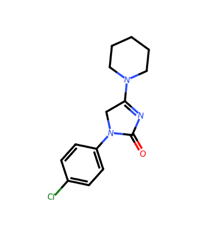 O=C1N=C(N2CCCCC2)CN1c1ccc(Cl)cc1